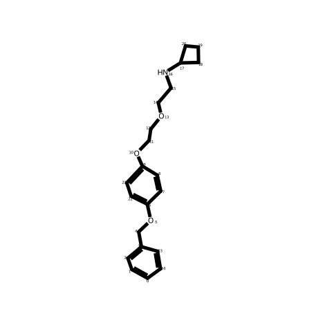 c1ccc(COc2ccc(OCCOCCNC3CCC3)cc2)cc1